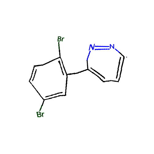 Brc1ccc(Br)c(-c2cc[c]nn2)c1